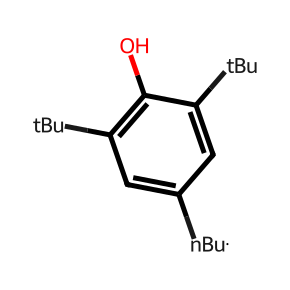 CCC[CH]c1cc(C(C)(C)C)c(O)c(C(C)(C)C)c1